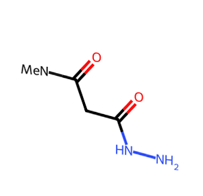 CNC(=O)CC(=O)NN